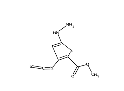 COC(=O)c1sc(NN)cc1N=C=S